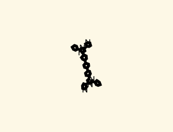 c1ccc(-c2nc(-c3ccc(-c4ccc(-c5ccc(-c6cc(-c7cccnc7)nc(-c7ccccc7)n6)cc5)cc4)cc3)cc(-c3cccnc3)n2)cc1